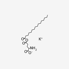 CCCCCCCCCCCCCCCC(=O)OC(=O)CC[C@@H](N)C(=O)[O-].[K+]